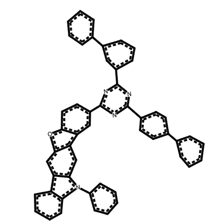 c1ccc(-c2ccc(-c3nc(-c4cccc(-c5ccccc5)c4)nc(-c4ccc5oc6cc7c8ccccc8n(-c8ccccc8)c7cc6c5c4)n3)cc2)cc1